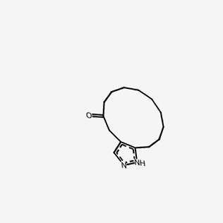 O=C1CCCCCCCCCc2[nH]ncc2C1